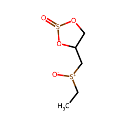 CC[S+]([O-])CC1COS(=O)O1